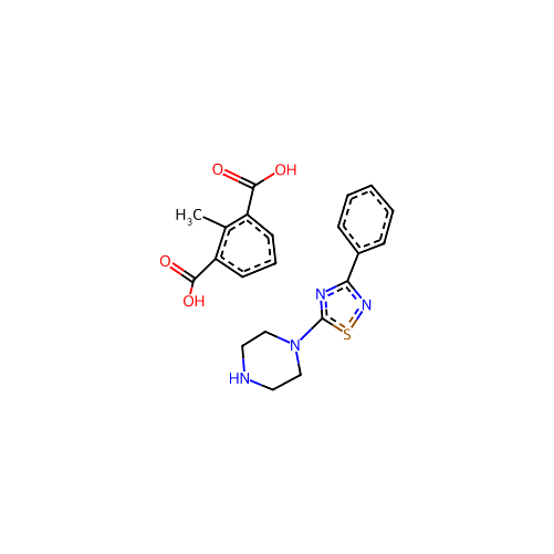 Cc1c(C(=O)O)cccc1C(=O)O.c1ccc(-c2nsc(N3CCNCC3)n2)cc1